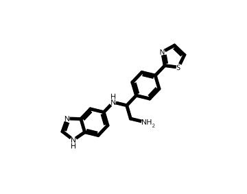 NCC(Nc1ccc2[nH]cnc2c1)c1ccc(-c2nccs2)cc1